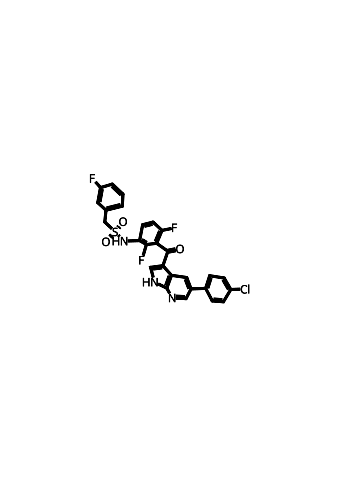 O=C(c1c(F)ccc(NS(=O)(=O)Cc2cccc(F)c2)c1F)c1c[nH]c2ncc(-c3ccc(Cl)cc3)cc12